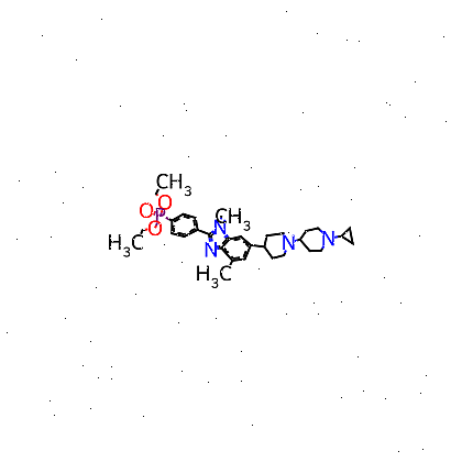 CCOP(=O)(OCC)c1ccc(-c2nc3c(C)cc(C4CCN(C5CCN(C6CC6)CC5)CC4)cc3n2C)cc1